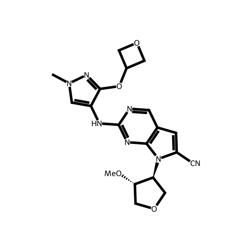 CO[C@H]1COC[C@@H]1n1c(C#N)cc2cnc(Nc3cn(C)nc3OC3COC3)nc21